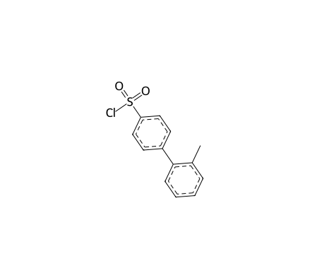 Cc1ccccc1-c1ccc(S(=O)(=O)Cl)cc1